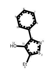 CCc1snc(-c2ccccc2)c1O